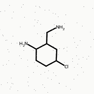 NCC1CC(Cl)CCC1N